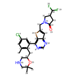 Cc1cc(Cl)cc(-c2ncnc3cc(CN4CC(C(F)F)CC4=O)sc23)c1C[C@@H]1CNCC(C)(C)O1